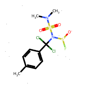 Cc1ccc(C(Cl)(Cl)N([S+]([O-])F)S(=O)(=O)N(C)C)cc1